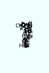 O=C1C=C(c2c(-n3cnnn3)ccc(Cl)c2F)C[C@H]2CC[C@@H](c3ncc(-c4ccnc(-c5ncc[nH]5)c4F)[nH]3)N12